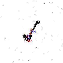 COC(=O)[C@H](Cc1ccc(OCCNC(=O)CCCCCCCCc2ccccc2)cc1)Nc1ccccc1C(=O)c1ccccc1